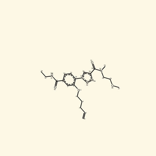 C=CCCCOc1cc(C(=O)NCC)ccc1-n1cc(C(=O)N(C)CCOC)nn1